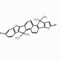 CC1(C)c2cc(Br)sc2-c2ccc3c4c(ccc3c21)-c1sc2cc(Br)ccc2c1C4(C)C